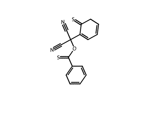 N#CC(C#N)(OC(=S)c1ccccc1)C1=CC=CCC1=S